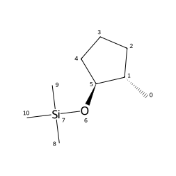 C[C@H]1CCC[C@@H]1O[Si](C)(C)C